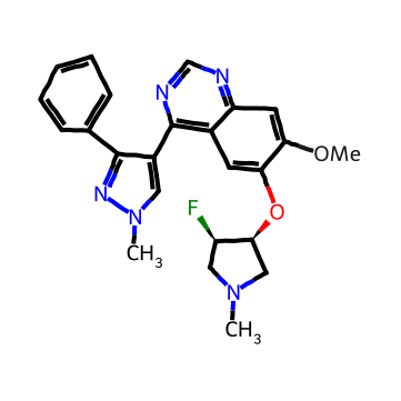 COc1cc2ncnc(-c3cn(C)nc3-c3ccccc3)c2cc1O[C@H]1CN(C)C[C@H]1F